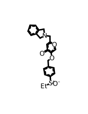 CC[S+]([O-])c1ccc(COc2coc(CN3Cc4ccccc4C3)cc2=O)cc1